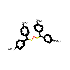 COc1ccc(C(SOSC(c2ccc(OC)cc2)c2ccc(OC)cc2)c2ccc(OC)cc2)cc1